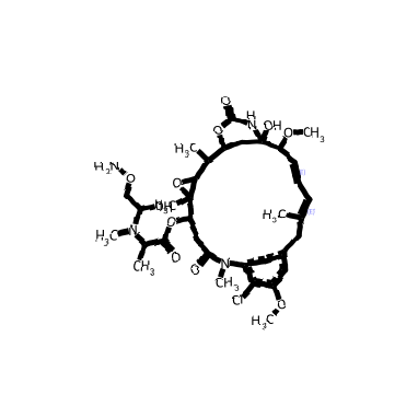 COc1cc2cc(c1Cl)N(C)C(=O)CC(OC(=O)C(C)N(C)C(O)CON)C1(C)OC1C(C)C1CC(O)(NC(=O)O1)C(OC)/C=C/C=C(\C)C2